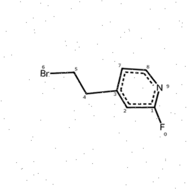 Fc1cc(CCBr)ccn1